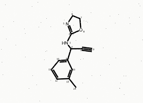 C#CC(NC1=NCCO1)c1cccc(C)c1